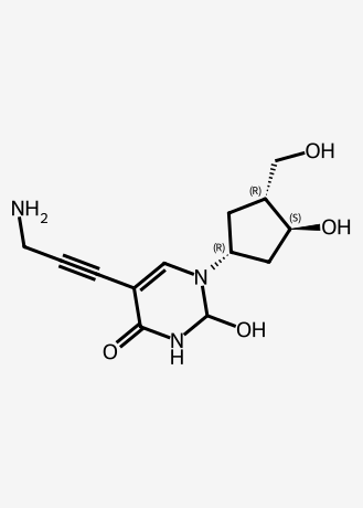 NCC#CC1=CN([C@@H]2C[C@H](CO)[C@@H](O)C2)C(O)NC1=O